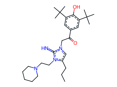 CCCc1cn(CC(=O)c2cc(C(C)(C)C)c(O)c(C(C)(C)C)c2)c(=N)n1CCN1CCCCC1